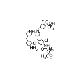 CC(C)(O)CNC(=O)Nc1ccc(CC2CCN(Cc3ccc(C(O)(C(F)(F)F)C(F)(F)F)cc3)CC2)cc1Cl.Nc1ccc(CC2CCNCC2)cc1Cl